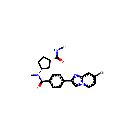 CCNC(=O)[C@H]1CC[C@@H](N(C)C(=O)c2ccc(-c3cn4ccc(C#N)cc4n3)cc2)C1